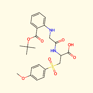 COc1ccc(S(=O)(=O)CC(NC(=O)CNc2ccccc2C(=O)OC(C)(C)C)C(=O)O)cc1